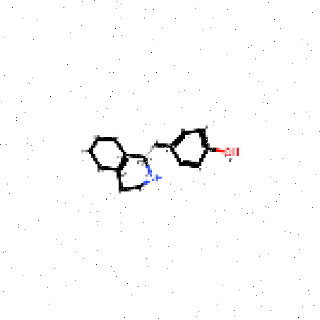 Oc1ccc(C[C@@H]2NCCC3=C2CCCC3)cc1